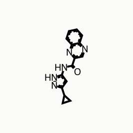 O=C(Nc1cc(C2CC2)n[nH]1)c1cnc2ccccc2n1